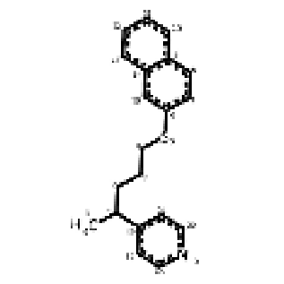 CC(CCCSc1ccc2ccccc2c1)c1ccncc1